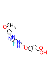 CC(=O)c1ccc(-c2ncc(F)c(CNCCCOc3ccc4c(c3)CC[C@H]4CC(=O)O)n2)cc1